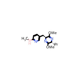 CBc1ccc(C[C@@H]2N=C(OC)[C@@H](C(C)C)N=C2OC)cn1